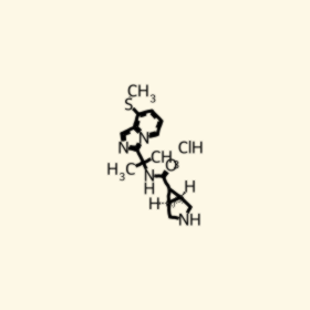 CSc1cccn2c(C(C)(C)NC(=O)C3[C@H]4CNC[C@@H]34)ncc12.Cl